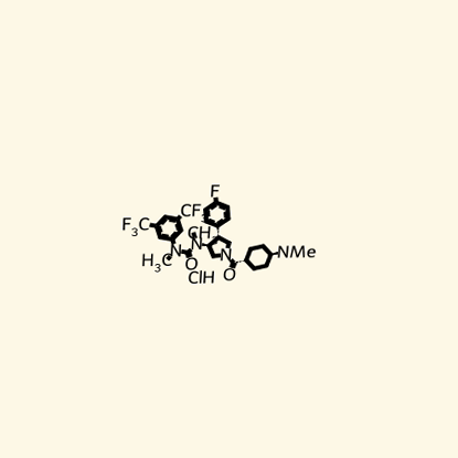 CN[C@H]1CC[C@H](C(=O)N2C[C@@H](N(C)C(=O)N(C)c3cc(C(F)(F)F)cc(C(F)(F)F)c3)[C@H](c3ccc(F)cc3)C2)CC1.Cl